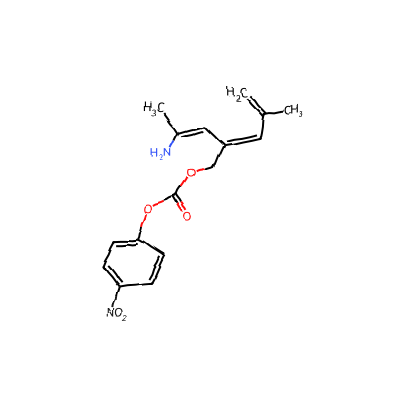 C=C(C)/C=C(\C=C(\C)N)COC(=O)Oc1ccc([N+](=O)[O-])cc1